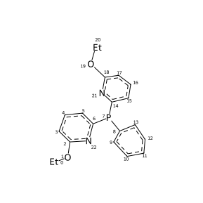 CCOc1cccc(P(c2ccccc2)c2cccc(OCC)n2)n1